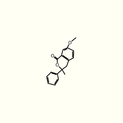 COc1ccc2c(c1)C(=O)OC(C)(c1ccccc1)C2